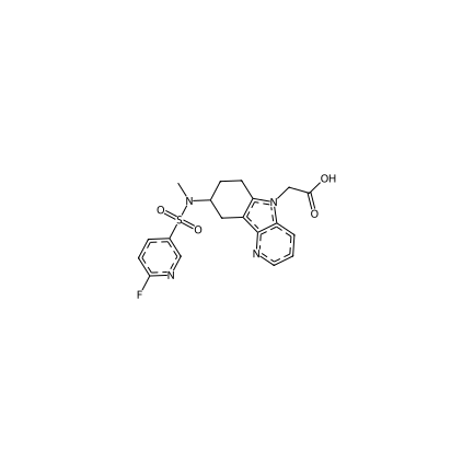 CN(C1CCc2c(c3ncccc3n2CC(=O)O)C1)S(=O)(=O)c1ccc(F)nc1